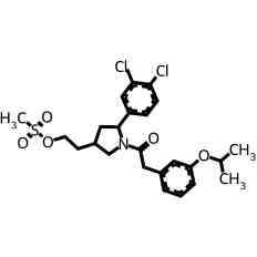 CC(C)Oc1cccc(CC(=O)N2CC(CCOS(C)(=O)=O)CC2c2ccc(Cl)c(Cl)c2)c1